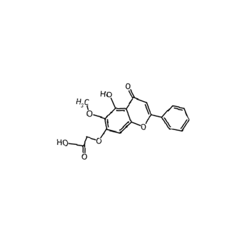 COc1c(OCC(=O)O)cc2oc(-c3ccccc3)cc(=O)c2c1O